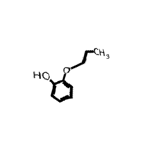 CCCOc1ccccc1O